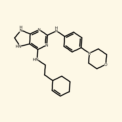 C1=CC(CCNc2nc(Nc3ccc(N4CCOCC4)cc3)nc3c2NCN3)CCC1